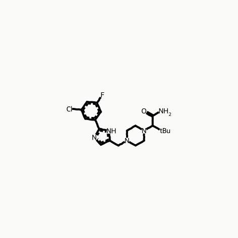 CC(C)(C)C(C(N)=O)N1CCN(Cc2cnc(-c3cc(F)cc(Cl)c3)[nH]2)CC1